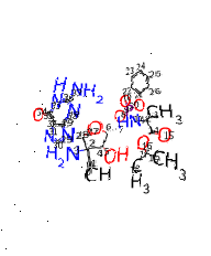 C#CC1(N)[C@@H](O)[C@@H](COP(=O)(N[C@@H](C)C(=O)OC(C)C)Oc2ccccc2)O[C@H]1n1cnc2c(=O)[nH]c(N)nc21